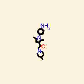 Cc1cc(C(=O)CN2CCC(C)CC2)c(C)n1-c1ccc(N)cc1